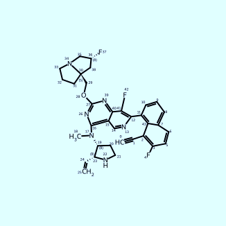 C#Cc1c(F)ccc2cccc(-c3ncc4c(N(C)[C@@H]5CCN[C@@H]5C=C)nc(OC[C@@]56CCCN5C[C@H](F)C6)nc4c3F)c12